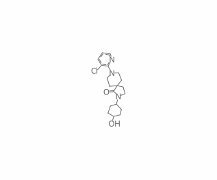 O=C1N(C2CCC(O)CC2)CCC12CCN(c1ncccc1Cl)CC2